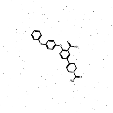 NC(=O)c1cc(C2=CCN(C(=O)O)CC2)cnc1Oc1ccc(Oc2ccccc2)cc1